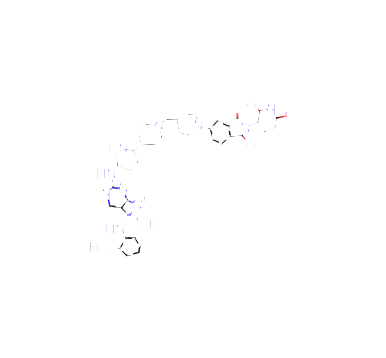 Cc1cccc(C)c1Nc1nn(C)c2nc(NC3CCC(C4CCN(CC5CCN(c6ccc7c(c6)C(=O)N(C6CCC(=O)NC6=O)C7=O)CC5)CC4)NC3)ncc12